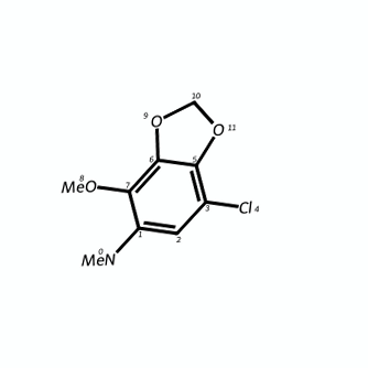 CNc1cc(Cl)c2c(c1OC)OCO2